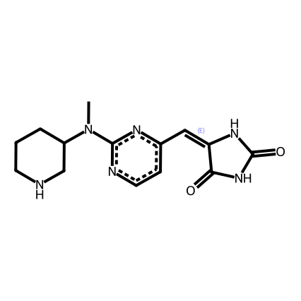 CN(c1nccc(/C=C2/NC(=O)NC2=O)n1)C1CCCNC1